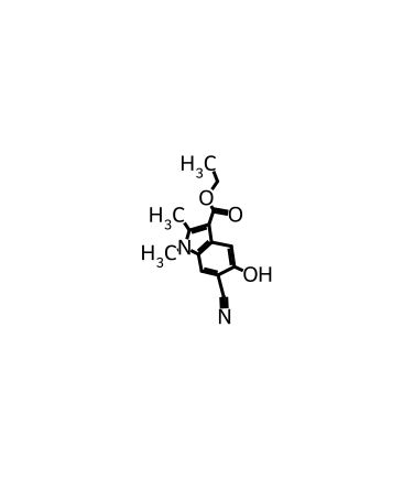 CCOC(=O)c1c(C)n(C)c2cc(C#N)c(O)cc12